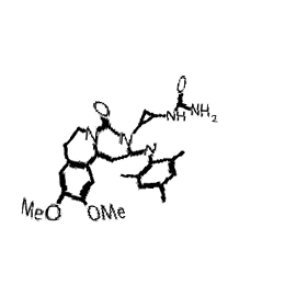 COc1cc2c(cc1OC)-c1c/c(=N\c3c(C)cc(C)cc3C)n(C3CC3NC(N)=O)c(=O)n1CC2